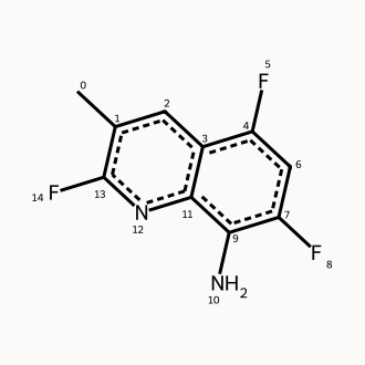 Cc1cc2c(F)cc(F)c(N)c2nc1F